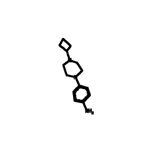 Nc1ccc(N2CCN(C3CCC3)CC2)cc1